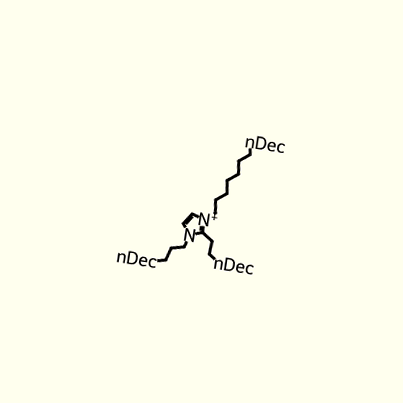 CCCCCCCCCCCCCCCCC[n+]1ccn(CCCCCCCCCCCCC)c1CCCCCCCCCCCC